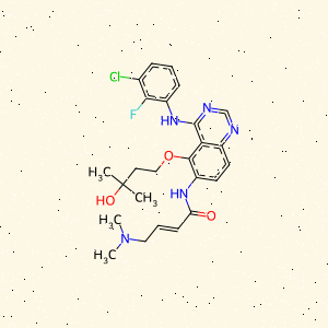 CN(C)C/C=C/C(=O)Nc1ccc2ncnc(Nc3cccc(Cl)c3F)c2c1OCCC(C)(C)O